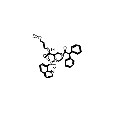 CCOCCCNC(=O)C1CN(C(=O)C(c2ccccc2)c2ccccc2)CCN1S(=O)(=O)c1cccc2cccnc12